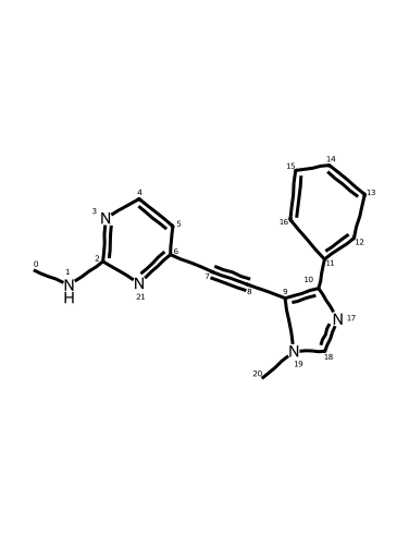 CNc1nccc(C#Cc2c(-c3ccccc3)ncn2C)n1